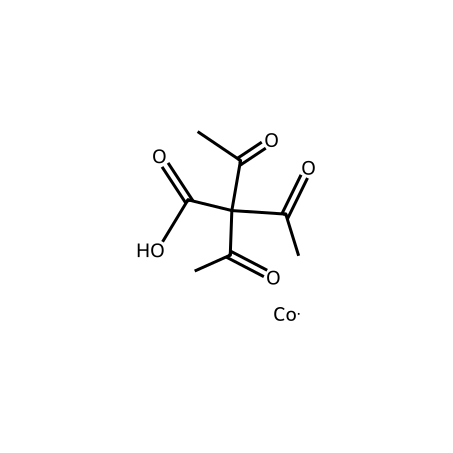 CC(=O)C(C(C)=O)(C(C)=O)C(=O)O.[Co]